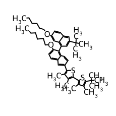 CCCCCCOc1ccc2cc(C(C)(C)C)cc(-c3c(OCCCCCC)ccc4cc(-c5sc(-c6sc(C(C)(C)C)c(C)c6C)c(C)c5C)ccc34)c2c1